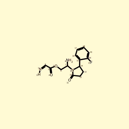 [H]/N=C\C(=O)OCC(N)N1C(=O)CCC1c1ccccc1F